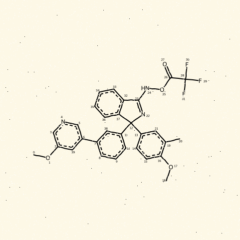 COc1cncc(-c2cccc(C3(c4ccc(OC)c(C)c4)N=C(NOC(=O)C(F)(F)F)c4ccccc43)c2)c1